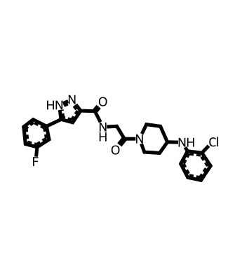 O=C(NCC(=O)N1CCC(Nc2ccccc2Cl)CC1)c1cc(-c2cccc(F)c2)[nH]n1